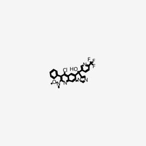 CON(C)c1nc2ccc(C(O)(c3ccc(C(F)(F)F)nc3)c3cncn3C)cc2c(Cl)c1-c1ccccc1